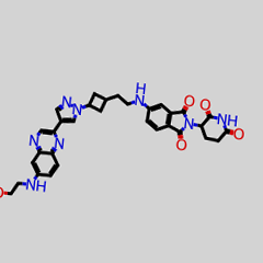 O=C1CCC(N2C(=O)c3ccc(NCCC4CC(n5cc(-c6cnc7cc(NCCO)ccc7n6)cn5)C4)cc3C2=O)C(=O)N1